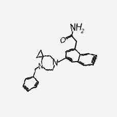 NC(=O)Cc1cc(N2CCN(Cc3ccccc3)C3(CC3)C2)cc2ccccc12